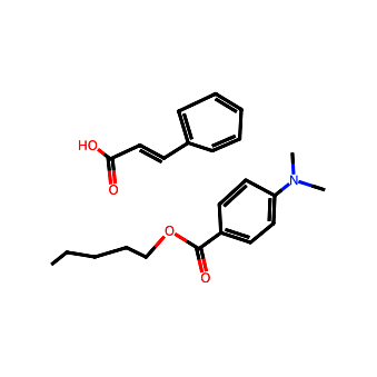 CCCCCOC(=O)c1ccc(N(C)C)cc1.O=C(O)C=Cc1ccccc1